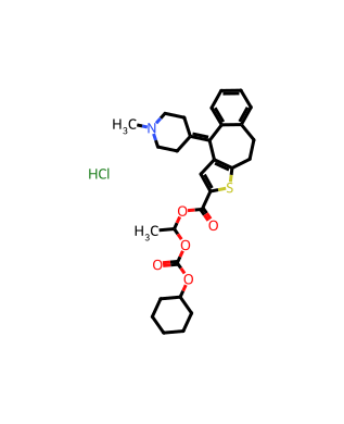 CC(OC(=O)OC1CCCCC1)OC(=O)c1cc2c(s1)CCc1ccccc1C2=C1CCN(C)CC1.Cl